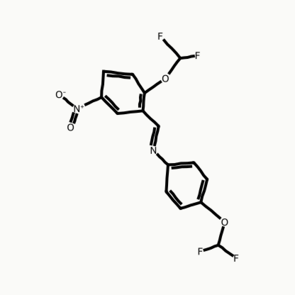 O=[N+]([O-])c1ccc(OC(F)F)c(C=Nc2ccc(OC(F)F)cc2)c1